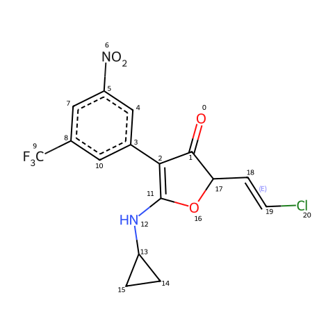 O=C1C(c2cc([N+](=O)[O-])cc(C(F)(F)F)c2)=C(NC2CC2)OC1/C=C/Cl